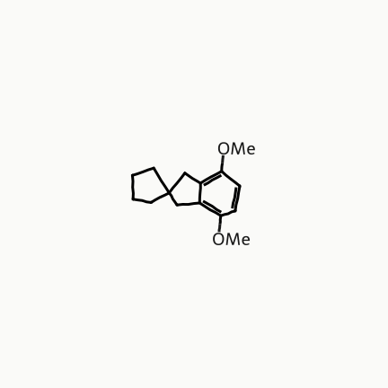 COc1ccc(OC)c2c1CC1(CCCC1)C2